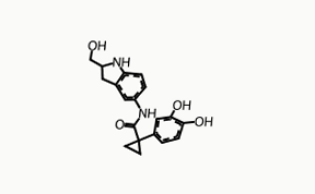 O=C(Nc1ccc2c(c1)CC(CO)N2)C1(c2ccc(O)c(O)c2)CC1